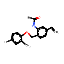 C=Cc1ccc(COc2ccc(CC)cc2C)c(NC(=O)CC)c1